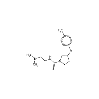 CN(C)CCNC(=S)N1CCC(Oc2ccc(C(F)(F)F)cc2)C1